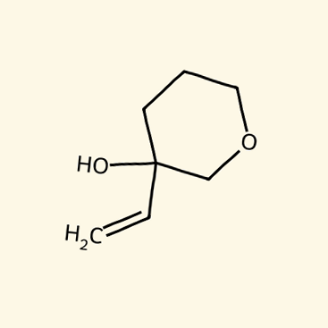 C=CC1(O)CCCOC1